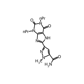 CCCn1c(=O)c2[nH]c(-c3cc(C(N)=O)n(C)n3)nc2n(CCC)c1=O